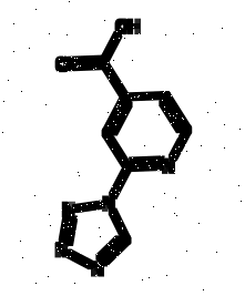 O=C(O)c1ccnc(-n2cnnn2)c1